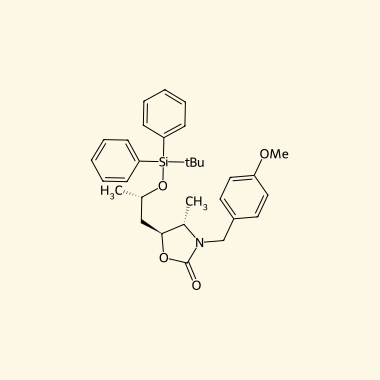 COc1ccc(CN2C(=O)O[C@@H](C[C@H](C)O[Si](c3ccccc3)(c3ccccc3)C(C)(C)C)[C@@H]2C)cc1